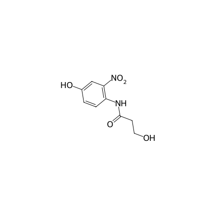 O=C(CCO)Nc1ccc(O)cc1[N+](=O)[O-]